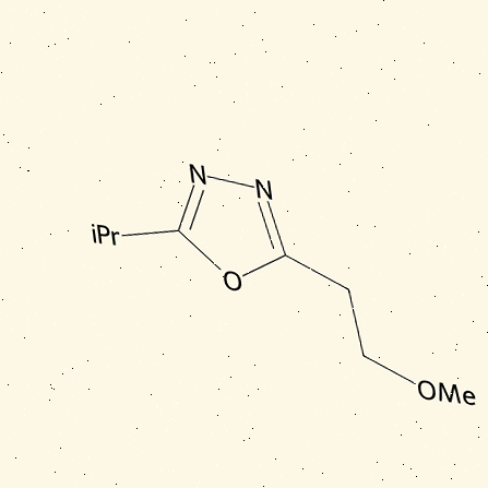 COCCc1nnc(C(C)C)o1